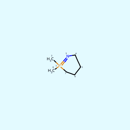 CP1(C)=NCCCC1